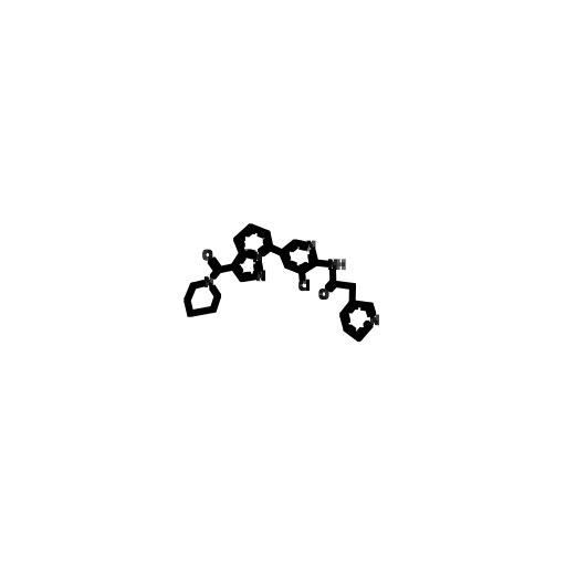 O=C(Cc1cccnc1)Nc1ncc(-c2cccc3c(C(=O)N4CCCCC4)cnn23)cc1Cl